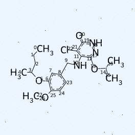 CCCC(C)Oc1cc(CNc2c(OC(C)C)n[nH]c(=O)c2Cl)ccc1OC